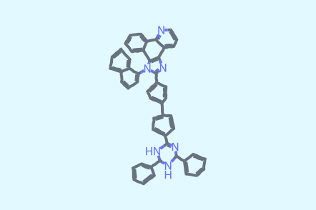 c1ccc(C2N=C(c3ccc(-c4ccc(-c5nc6c7cccnc7c7ccccc7c6n5-c5cccc6ccccc56)cc4)cc3)NC(c3ccccc3)N2)cc1